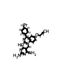 C#CCOc1ccc2c(c1)C(c1ccc(C(C)C)cc1)N=C(O)N2Cc1cnc(N)nc1N